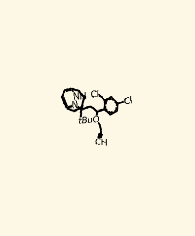 C#CCOC(CC(N1NC2=CC=C1CCCC2)C(C)(C)C)c1ccc(Cl)cc1Cl